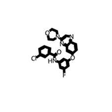 O=C(Nc1cc(F)cc(Oc2ccc3ncc(N4CCOCC4)nc3c2)c1)c1cccc(Cl)c1